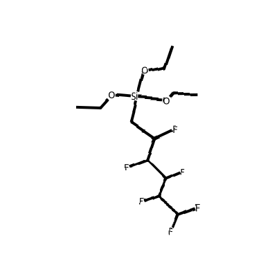 CCO[Si](CC(F)C(F)C(F)C(F)C(F)F)(OCC)OCC